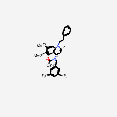 COC(=O)N(Cc1cc(C(F)(F)F)cc(C(F)(F)F)c1)[C@H]1C[C@@H](C)N(CCc2ccccc2)c2cc(OC)c(OC)cc21